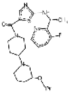 CC(C)OC1CCCN(C2CCN(C(=O)c3cnc(N[C@@H](C)c4ncccc4F)s3)CC2)C1